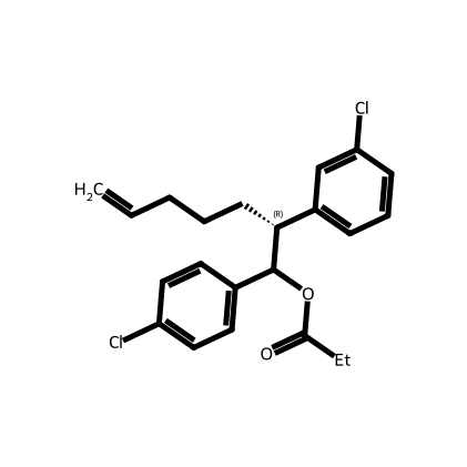 C=CCCC[C@H](c1cccc(Cl)c1)C(OC(=O)CC)c1ccc(Cl)cc1